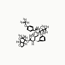 [2H]C([2H])([2H])Oc1ccc(S(=O)(=O)N(C[C@@H](O)[C@H](Cc2ccccc2)NC(=O)O[C@]2([2H])[C@@H]3CCO[C@@H]3OC2([2H])[2H])C([2H])([2H])C([2H])(C)C([2H])([2H])[2H])cc1